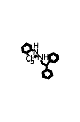 S=C(NCC(c1ccccc1)c1ccccc1)Nc1ccccc1Cl